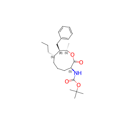 CCC[C@H]1CCC[C@H](NC(=O)OC(C)(C)C)C(=O)O[C@@H](C)[C@@H]1Cc1ccccc1